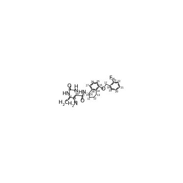 C=C1NC(=O)NC(C(=O)N[C@H]2CCCc3c(OCc4ccccc4F)cccc32)=C1N